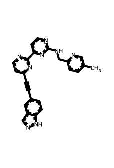 Cc1ccc(CNc2nccc(-c3nccc(C#Cc4ccc5[nH]ncc5c4)n3)n2)nc1